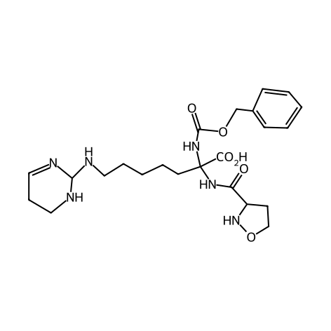 O=C(NC(CCCCCNC1N=CCCN1)(NC(=O)C1CCON1)C(=O)O)OCc1ccccc1